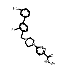 CCCNC(=O)c1ccc(N2CCN(Cc3ccc(-c4cccc(O)c4)cc3CC)CC2)nn1